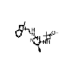 C#Cc1cnc(NCCn2c(C)cc3ccccc32)nc1N[C@@H]1C[C@H](O)C1(C)C